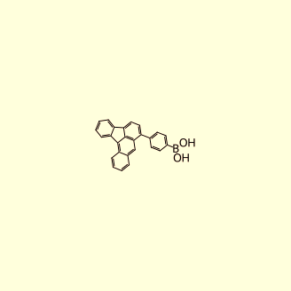 OB(O)c1ccc(-c2ccc3c4c(c5ccccc5cc24)-c2ccccc2-3)cc1